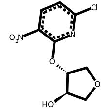 O=[N+]([O-])c1ccc(Cl)nc1O[C@@H]1COC[C@H]1O